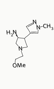 COCCN1CC(c2cnn(C)c2)[C@H](N)C1